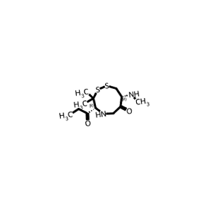 CCC(=O)[C@H]1NCC(=O)[C@@H](NC)CSSC1(C)C